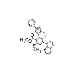 COC(=O)c1c(SC)cc(-c2cccc3ccccc23)c2c1-c1cn(-c3ccccc3)nc1CC2